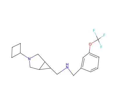 FC(F)(F)Oc1cccc(CNCC2C3CN(C4CCC4)CC23)c1